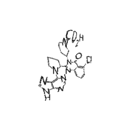 O=C(O)N1CCC(n2c([C@@H]3CCCN3c3ncnc4[nH]cnc34)nc3cccc(Cl)c3c2=O)C1